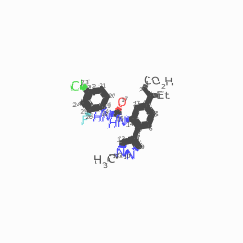 CCC(CC(=O)O)c1ccc(-c2cnn(C)c2)c(NC(=O)Nc2ccc(Cl)cc2F)c1